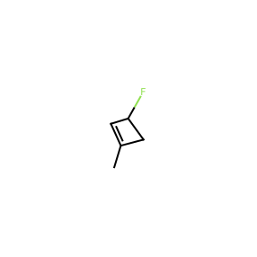 CC1=CC(F)C1